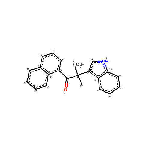 CC(C(=O)O)(C(=O)c1cccc2ccccc12)c1c[nH]c2ccccc12